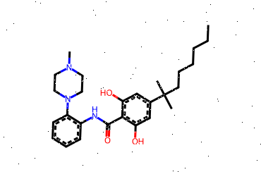 CCCCCCC(C)(C)c1cc(O)c(C(=O)Nc2ccccc2N2CCN(C)CC2)c(O)c1